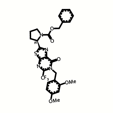 COc1ccc(Cn2c(C(F)(F)F)nc3sc([C@H]4CCCN4C(=O)OCc4ccccc4)nc3c2=O)c(OC)c1